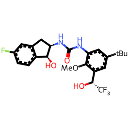 COc1c(NC(=O)N[C@@H]2Cc3cc(F)ccc3[C@@H]2O)cc(C(C)(C)C)cc1[C@@H](O)C(F)(F)F